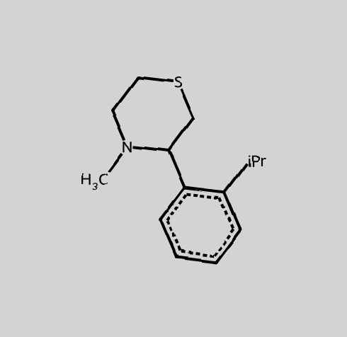 CC(C)c1ccccc1C1CSCCN1C